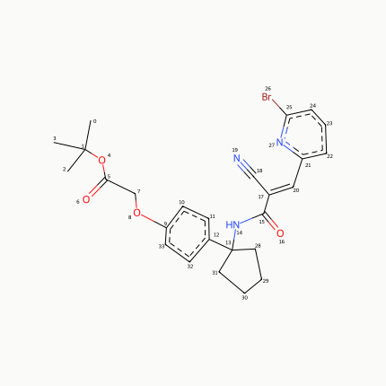 CC(C)(C)OC(=O)COc1ccc(C2(NC(=O)C(C#N)=Cc3cccc(Br)n3)CCCC2)cc1